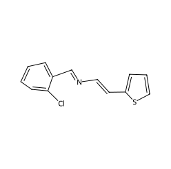 Clc1ccccc1C=NC=Cc1cccs1